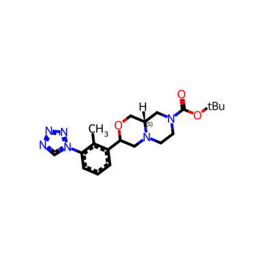 Cc1c(C2CN3CCN(C(=O)OC(C)(C)C)C[C@H]3CO2)cccc1-n1cnnn1